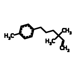 C=CC(C)(C)CCCc1ccc(C)cc1